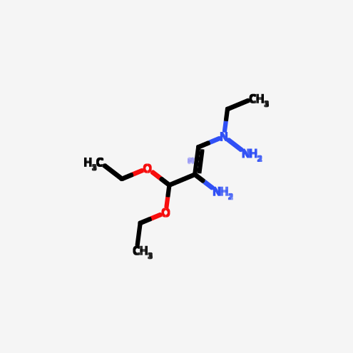 CCOC(OCC)/C(N)=C/N(N)CC